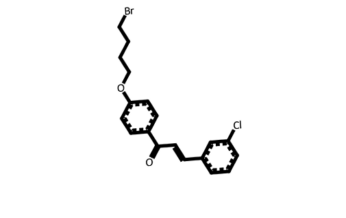 O=C(C=Cc1cccc(Cl)c1)c1ccc(OCCCCBr)cc1